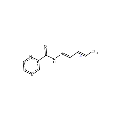 C/C=C/C=NNC(=O)c1cnccn1